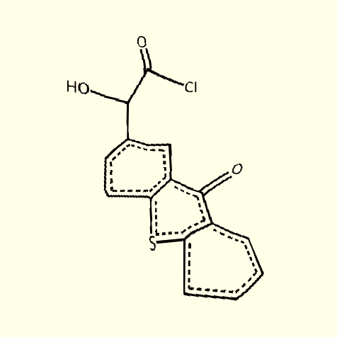 O=C(Cl)C(O)c1ccc2sc3ccccc3c(=O)c2c1